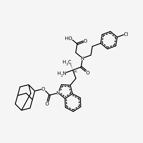 C[C@@](N)(Cc1cn(C(=O)OC2C3CC4CC(C3)CC2C4)c2ccccc12)C(=O)N(CCc1ccc(Cl)cc1)CC(=O)O